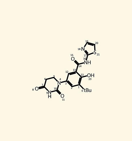 CC(C)(C)c1cc(N2CCC(=O)NC2=O)cc(C(=O)Nc2nccs2)c1O